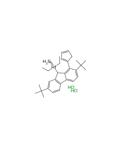 C[CH2][Hf](=[SiH2])([CH2]C)[CH]1c2cc(C(C)(C)C)ccc2-c2ccc(C(C)(C)C)c(C3=CC=CC3)c21.Cl.Cl